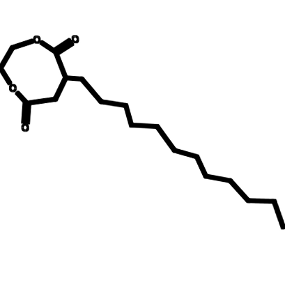 CCCCCCCCCCCCC1CC(=O)OCCOC1=O